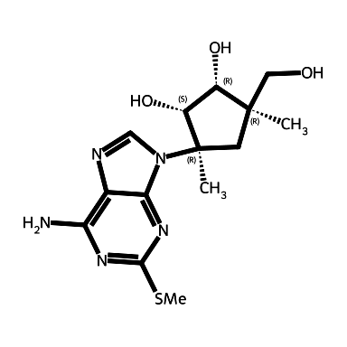 CSc1nc(N)c2ncn([C@]3(C)C[C@](C)(CO)[C@@H](O)[C@H]3O)c2n1